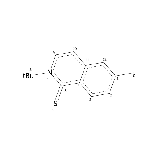 Cc1ccc2c(=S)n(C(C)(C)C)ccc2c1